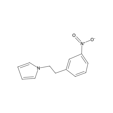 O=[N+]([O-])c1cccc(CCn2cccc2)c1